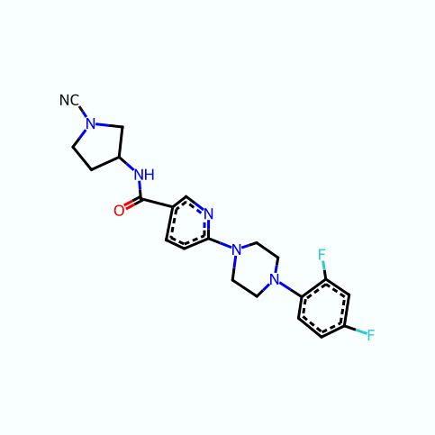 N#CN1CCC(NC(=O)c2ccc(N3CCN(c4ccc(F)cc4F)CC3)nc2)C1